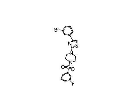 O=S(=O)(c1cccc(F)c1)N1CCN(c2nc(-c3cccc(Br)c3)cs2)CC1